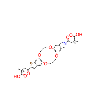 C[C@@H](CC(=O)c1cc2cc3c(cc2s1)OCCCOc1cc2c(cc1OCCCO3)CN(C(=O)C[C@H](C)C(=O)O)C2)C(=O)O